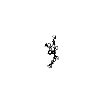 COC1(C[C@@H]2CN(COCC[Si](C)(C)C)C(=O)c3sc(-c4cnn(COCC[Si](C)(C)C)c4)c4c3N2CCC4)CC1